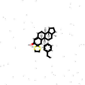 CCc1ccc([C@H]2C[C@]3(C)CCC[C@H]3[C@@H]3CCC4=CC(=O)C5(C[C@@H]4[C@H]32)SCCS5)cc1